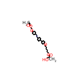 C=CC(=O)OCCOc1ccc(/C=C/c2ccc(-c3ccc(OCCCCCCOC(=O)C(=C)CO)cc3)cc2)cc1